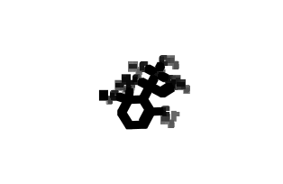 C=CC(C)(C1C(C)=CCCC1(C)C)[N+](C)(C)C.[I-]